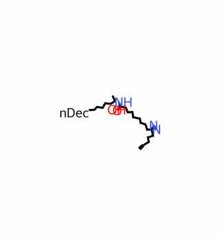 C#CCCCC1(CCCCCCCCC(=O)NC(C)C(O)CCCCCCCCCCCCCCC)N=N1